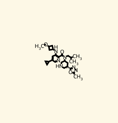 COC1CC(Nc2cc(C3CC3)cnc2C(=O)N(CC(C)C)C2CNC[C@H](c3nnc(C)o3)C2)C1